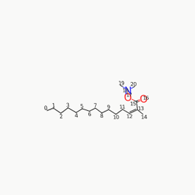 CCCCCCCCCCCCC=C(C)C(=O)ON(C)C